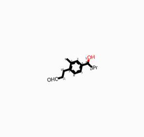 Cc1cc(C(O)C(C)C)ccc1CCC=O